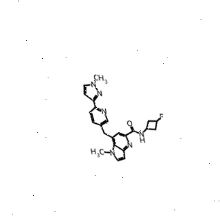 Cn1ccc(-c2ccc(Cc3cc(C(=O)NC4CC(F)C4)nc4ccn(C)c34)cn2)n1